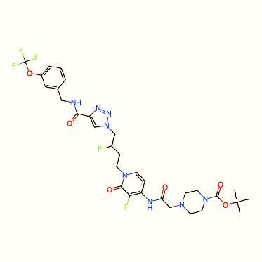 CC(C)(C)OC(=O)N1CCN(CC(=O)Nc2ccn(CCC(F)Cn3cc(C(=O)NCc4cccc(OC(F)(F)F)c4)nn3)c(=O)c2F)CC1